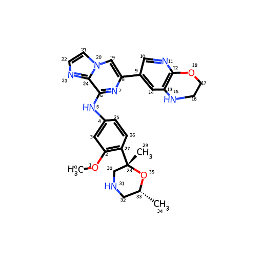 COc1cc(Nc2nc(-c3cnc4c(c3)NCCO4)cn3ccnc23)ccc1[C@@]1(C)CNC[C@@H](C)O1